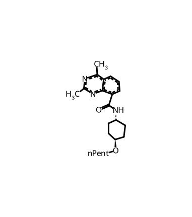 CCCCCO[C@H]1CC[C@H](NC(=O)c2cccc3c(C)nc(C)nc23)CC1